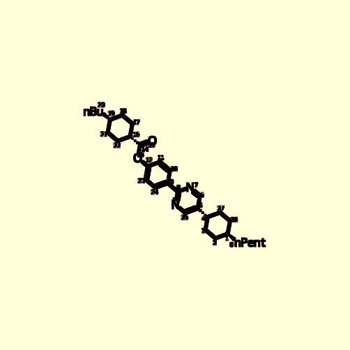 CCCCC[C@H]1CC[C@H](c2cnc(-c3ccc(OC(=O)[C@H]4CC[C@H](CCCC)CC4)cc3)nc2)CC1